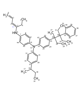 C=C/C=C(\CC)Nc1ccc(N(c2ccc(C(C)CC)cc2)c2ccc(C(C)(CC)C(CC)(CC)c3ccccc3)cc2)cc1